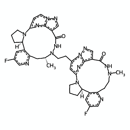 C[C@@H]1Cc2ncc(F)cc2[C@H]2CCCN2c2ccn3ncc(c3n2)C(=O)NN1CCc1cc2nc3c(cnn13)C(=O)NN(C)CCc1ncc(F)cc1[C@H]1CCCN21